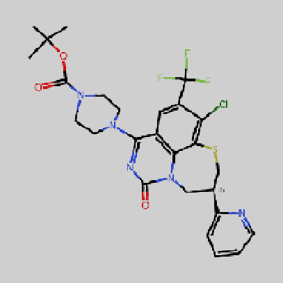 CC(C)(C)OC(=O)N1CCN(c2nc(=O)n3c4c(c(Cl)c(C(F)(F)F)cc24)SC[C@@H](c2ccccn2)C3)CC1